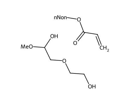 C=CC(=O)OCCCCCCCCC.COC(O)COCCO